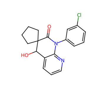 O=C1N(c2cccc(Cl)c2)c2ncccc2C(O)C12CCCC2